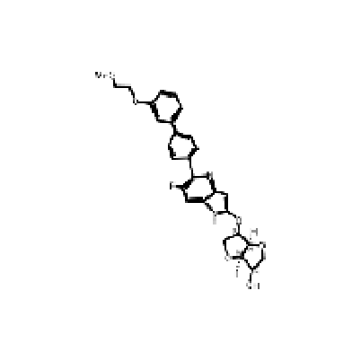 COCCOc1cccc(-c2ccc(-c3nc4cc(O[C@@H]5CO[C@H]6[C@@H]5OC[C@H]6O)[nH]c4cc3F)cc2)c1